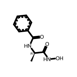 C[C@@H](NC(=O)c1ccccc1)C(=O)NO